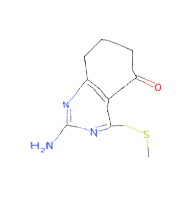 CSc1nc(N)nc2c1C(=O)CCC2